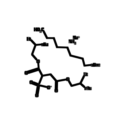 CCCCC(CC)COC(=O)CC(C(=O)OCC(CC)CCCC)S(=O)(=O)[O-].CCCCCCCCCCCCCCCCCC(=O)O.N.[Na+]